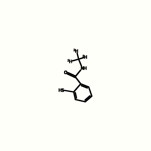 [2H]C([2H])([2H])NC(=O)c1ccccc1S